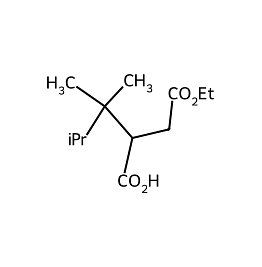 CCOC(=O)CC(C(=O)O)C(C)(C)C(C)C